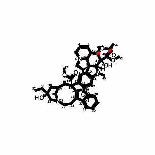 CCC12C=CCN3CC[C@@]4(c5cc([C@@]6(C(=O)OC)CC7CN(CCc8c6[nH]c6ccccc86)C[C@](O)(CC)C7)c(OC)cc5N(C)[C@H]4[C@@](O)(C(=O)OC)[C@@H]1OC(C)=O)C32